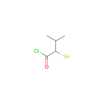 CC(C)C(S)C(=O)Cl